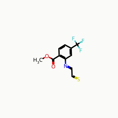 COC(=O)c1ccc(C(F)(F)F)cc1N=CC=S